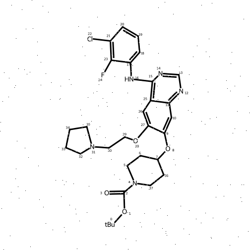 CC(C)(C)OC(=O)N1CCC(Oc2cc3ncnc(Nc4cccc(Cl)c4F)c3cc2OCCN2CCCC2)CC1